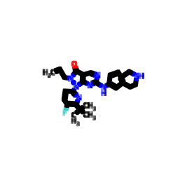 C=CCn1c(=O)c2cnc(Nc3ccc4c(c3)CCNC4)nc2n1-c1ccc(F)c(C(C)(C)C)n1